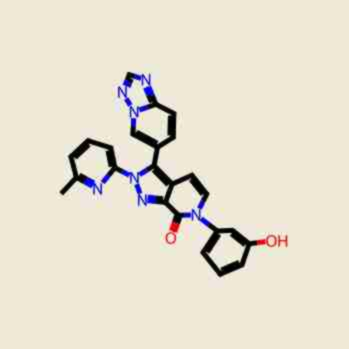 Cc1cccc(-n2nc3c(=O)n(-c4cccc(O)c4)ccc3c2-c2ccc3ncnn3c2)n1